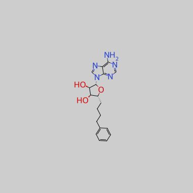 Nc1ncnc2c1ncn2[C@@H]1O[C@H](CCCCc2ccccc2)[C@@H](O)[C@H]1O